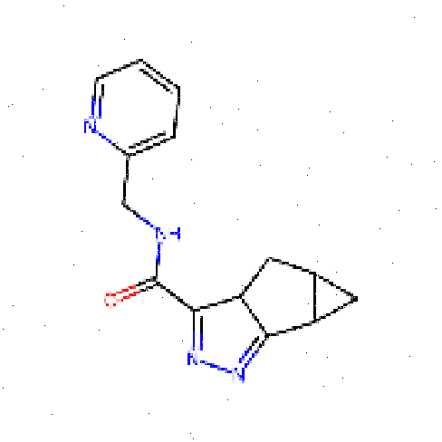 O=C(NCc1ccccn1)C1=NN=C2C1CC1CC21